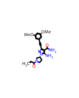 C=CC(=O)N1CC[C@@H](n2nc(C#Cc3cc(OC)cc(OC)c3)c(C(N)=O)c2N)C1